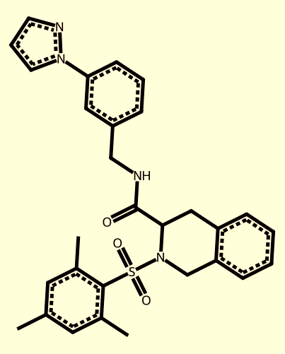 Cc1cc(C)c(S(=O)(=O)N2Cc3ccccc3CC2C(=O)NCc2cccc(-n3cccn3)c2)c(C)c1